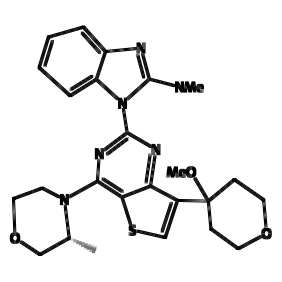 CNc1nc2ccccc2n1-c1nc(N2CCOC[C@H]2C)c2scc(C3(OC)CCOCC3)c2n1